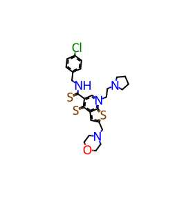 S=C(NCc1ccc(Cl)cc1)c1cn(CCN2CCCC2)c2sc(CN3CCOCC3)cc2c1=S